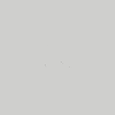 CCCCOC(C(=O)c1ccccc1)(c1ccccc1)C(C)C(C=O)N(C)C